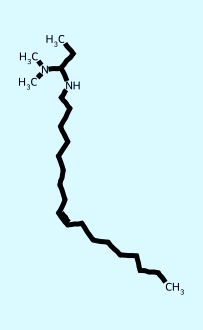 CCCCCCCC/C=C\CCCCCCCCNC(CC)N(C)C